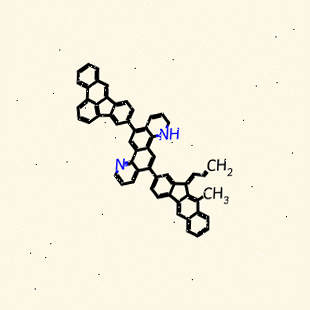 C=C/C=C1/c2cc(-c3cc4c5c(c(-c6ccc7c(c6)-c6cccc8c6c-7cc6ccccc68)cc4c4ncccc34)C=CCN5)ccc2-c2cc3ccccc3c(C)c21